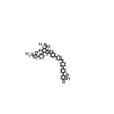 CN1CCN(C2CCCN(c3c(F)cc(C(N)=O)c4[nH]c(-c5ccc(C6CCN(CC7CCN(c8ccc(C9CCC(=O)NC9=O)cc8)CC7)CC6)cc5)cc34)C2)C1=O